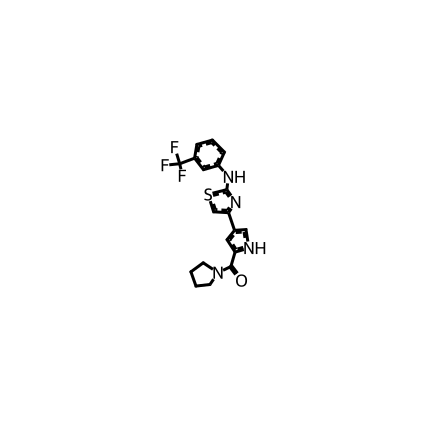 O=C(c1cc(-c2csc(Nc3cccc(C(F)(F)F)c3)n2)c[nH]1)N1CCCC1